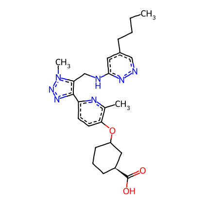 CCCCc1cnnc(NCc2c(-c3ccc(OC4CCC[C@H](C(=O)O)C4)c(C)n3)nnn2C)c1